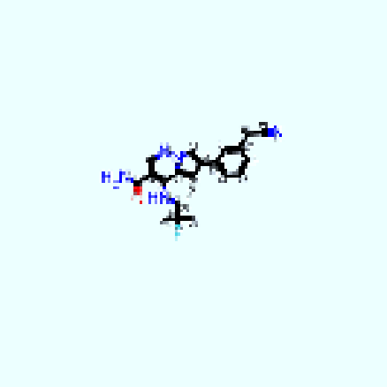 C[C@@H](Nc1c(C(N)=O)cnn2cc(-c3cccc(CC#N)c3)cc12)C(C)(C)F